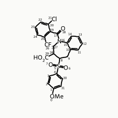 COc1ccc(S(=O)(=O)C2Cc3ccccc3N(C(=O)c3c(Cl)cccc3C(F)(F)F)CC2C(=O)O)cc1